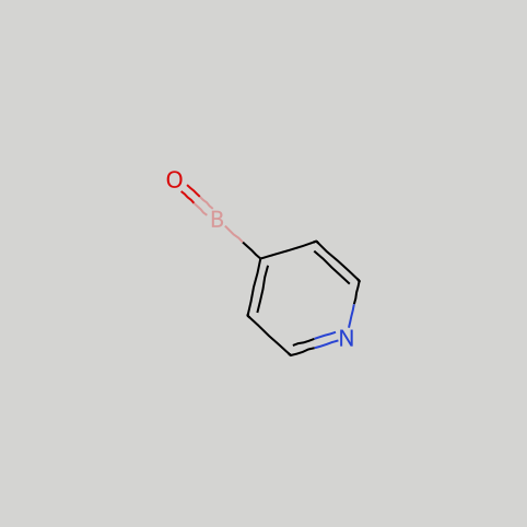 O=Bc1ccncc1